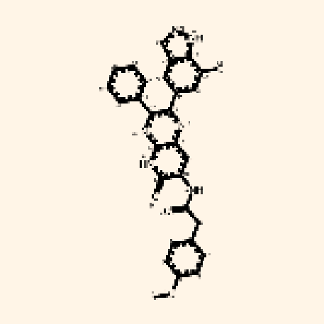 COc1ccc(CC(=O)Nc2cc3nc(-c4cc(Cl)c5[nH]ncc5c4)c(-c4ccccc4)nc3[nH]c2=O)cc1